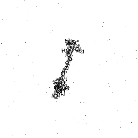 Cc1sc2c(c1C)C(c1ccc(Cl)cc1)=NC(CC(=O)Nc1ccc(OCCOCCOCCOCCNc3cccc4c3C(=O)N(C3(C(=O)OCc5ccccc5)CCC(=O)NC3=O)C4=O)cc1)c1nnc(C)n1-2